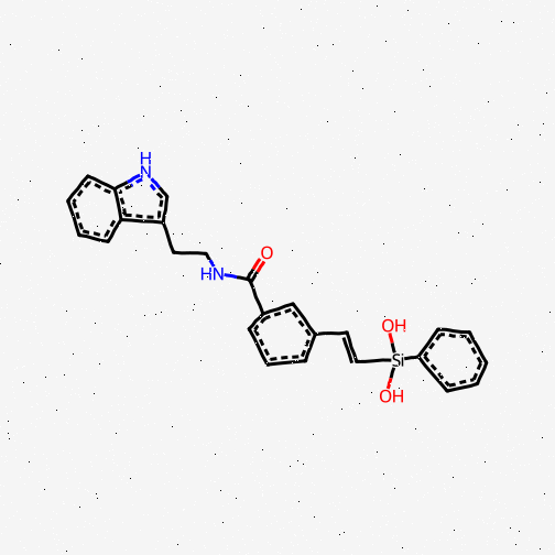 O=C(NCCc1c[nH]c2ccccc12)c1cccc(C=C[Si](O)(O)c2ccccc2)c1